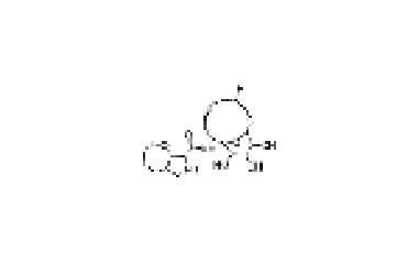 O=C(N[C@@H]1C/C=C\CC(F)CSC2OC1C(O)C(O)C2O)C1NCC2CCCCOC21